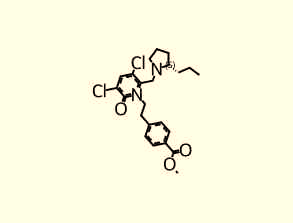 CCC[C@H]1CCCN1Cc1c(Cl)cc(Cl)c(=O)n1CCc1ccc(C(=O)OC)cc1